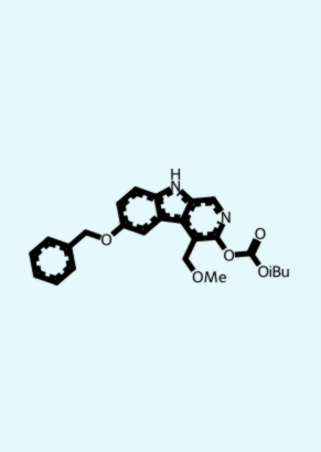 COCc1c(OC(=O)OCC(C)C)ncc2[nH]c3ccc(OCc4ccccc4)cc3c12